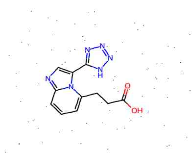 O=C(O)CCc1cccc2ncc(-c3nnn[nH]3)n12